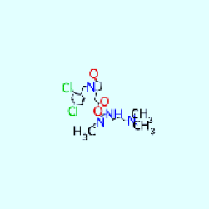 CC/N=C(/NCCCN(C)C)OC(=O)CC1CCC(=O)N1Cc1ccc(Cl)cc1Cl